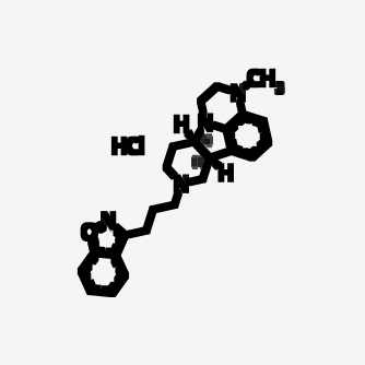 CN1CCN2c3c(cccc31)[C@@H]1CN(CCCc3noc4ccccc34)CC[C@@H]12.Cl